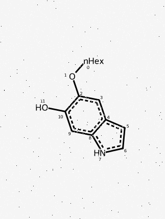 CCCCCCOc1cc2cc[nH]c2cc1O